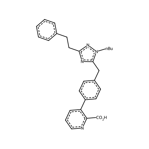 CCCCn1nc(CCc2ccccc2)nc1Cc1ccc(-c2cccnc2C(=O)O)cc1